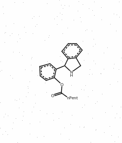 CCCCCC(=O)Oc1ccccc1C1NCc2ccccc21